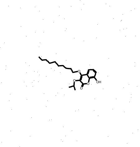 CCCCCCCCCCOc1c(OC(C)C)c(=O)oc2c(O)cccc12